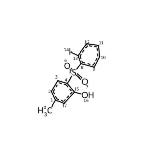 Cc1ccc(S(=O)(=O)c2ccccc2I)c(O)c1